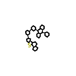 c1ccc(-c2c3ccccc3c(-c3cccc(-c4cccc(-c5ccc6sc7c8ccccc8ccc7c6c5)c4)c3)c3ccccc23)cc1